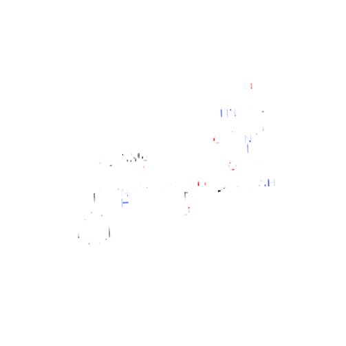 CNC(=O)C(Cc1ccccc1)NC(=O)CCC(=O)OC[C@@H]1CNC[C@H](n2cc(C)c(=O)[nH]c2=O)O1